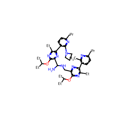 CCc1nc(OC(CC)CC)c(CNC(N)c2nc(-c3ccc(C(C)C)nc3N3CCC3)c(CC)nc2OC(CC)CC)nc1-c1ccc(C(C)C)nc1C